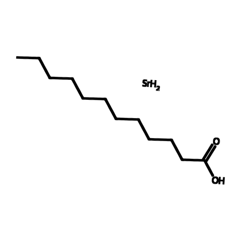 CCCCCCCCCCCC(=O)O.[SrH2]